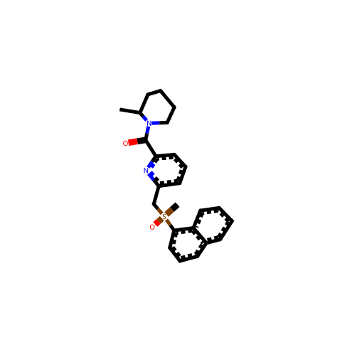 C=S(=O)(Cc1cccc(C(=O)N2CCCCC2C)n1)c1cccc2ccccc12